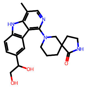 Cc1cnc(N2CCCC3(CCNC3=O)C2)c2c1[nH]c1ccc(C(O)CO)cc12